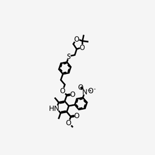 COC(=O)C1=C(C)NC(C)=C(C(=O)OCCc2ccc(SCC3COC(C)(C)O3)cc2)C1c1cccc([N+](=O)[O-])c1